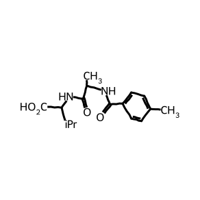 Cc1ccc(C(=O)NC(C)C(=O)NC(C(=O)O)C(C)C)cc1